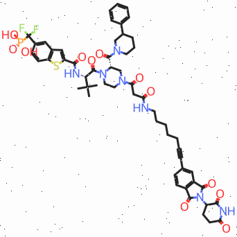 CC(C)(C)[C@H](NC(=O)c1cc2cc(C(F)(F)P(=O)(O)O)ccc2s1)C(=O)N1CCN(C(=O)CC(=O)NCCCCCC#Cc2ccc3c(c2)C(=O)N(C2CCC(=O)NC2=O)C3=O)C[C@H]1C(=O)N1CCCC(c2ccccc2)C1